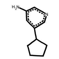 Nc1cncc(C2CCCC2)c1